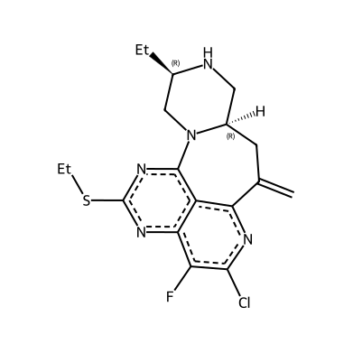 C=C1C[C@@H]2CN[C@H](CC)CN2c2nc(SCC)nc3c(F)c(Cl)nc1c23